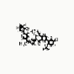 Cc1cc(C(C)n2cc(NC(=O)c3nc(-c4c(OC(F)F)ccc(Cl)c4F)cnc3COC(C)(C)C)cn2)cnc1N1C[C@H]2C[C@H]2C1=O